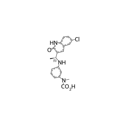 C[C@H](Nc1cccc(N(C)C(=O)O)c1)c1cc2cc(Cl)ccc2[nH]c1=O